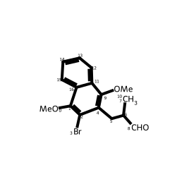 COc1c(Br)c(CC(C)C=O)c(OC)c2ccccc12